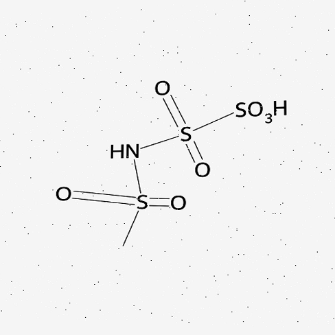 CS(=O)(=O)NS(=O)(=O)S(=O)(=O)O